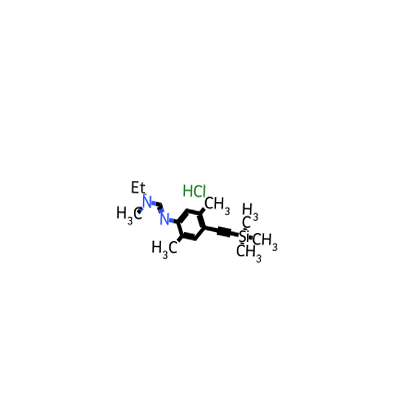 CCN(C)C=Nc1cc(C)c(C#C[Si](C)(C)C)cc1C.Cl